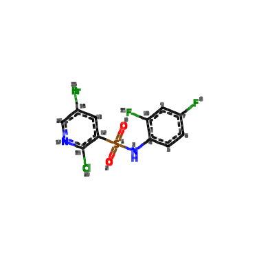 O=S(=O)(Nc1ccc(F)cc1F)c1cc(Br)cnc1Cl